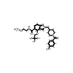 COCCNC(=O)c1ccc2nn(CC3CCN(C(=O)c4ccc(Cl)cc4)CC3)cc2c1OCC(F)(F)F